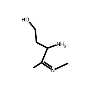 CN=C(C)C(N)CCO